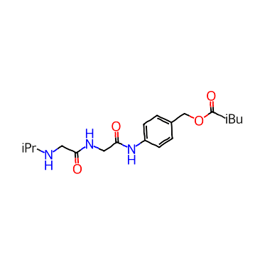 CCC(C)C(=O)OCc1ccc(NC(=O)CNC(=O)CNC(C)C)cc1